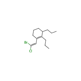 CCCC1=C(/C=C(/Cl)Br)CCCC1CCC